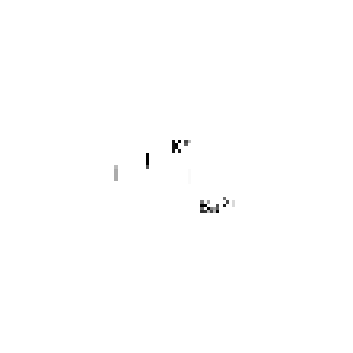 [Ba+2].[I-].[I-].[I-].[K+]